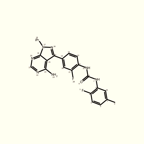 Cc1ccc(F)c(NC(=O)Nc2ccc(-c3nn(C(C)C)c4ncnc(N)c34)cc2F)c1